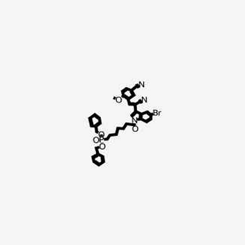 COc1ccc(C#N)cc1/C=C(\C#N)c1cn(C(=O)CCCCCCP(=O)(OCc2ccccc2)OCc2ccccc2)c2ccc(Br)cc12